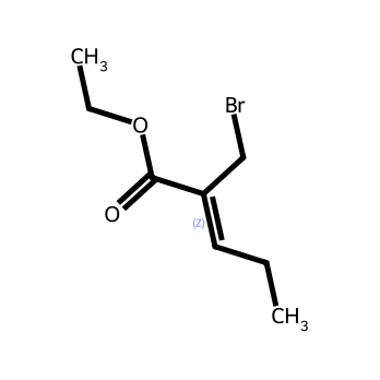 CC/C=C(\CBr)C(=O)OCC